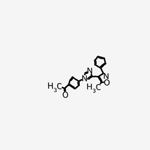 CC(=O)c1ccc(-n2cnc(-c3c(-c4ccccc4)noc3C)c2)cc1